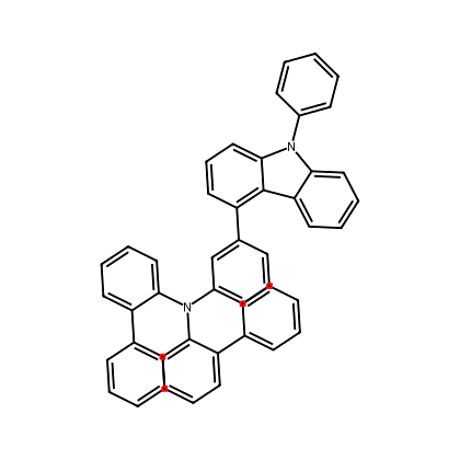 c1ccc(-c2ccccc2N(c2cccc(-c3cccc4c3c3ccccc3n4-c3ccccc3)c2)c2ccccc2-c2ccccc2)cc1